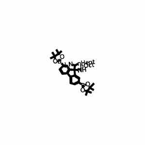 CCCCCCCCNC1(C(N)CCCCCCC)c2cc(B3OC(C)(C)C(C)(C)O3)ccc2-c2ccc(B3OC(C)(C)C(C)(C)O3)cc21